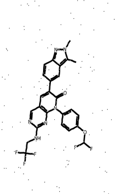 Cc1c2cc(-c3cc4cnc(NCC(F)(F)F)nc4n(-c4ccc(OC(F)F)cc4)c3=O)ccc2nn1C